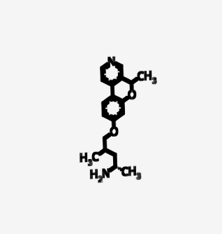 CC(COc1ccc2c(c1)OC(C)c1cnccc1-2)C[C@H](C)N